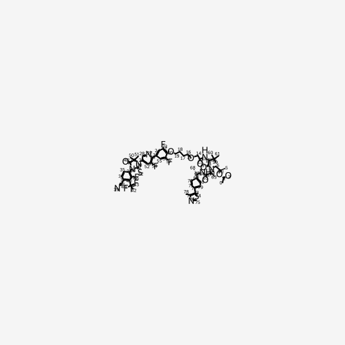 CC(=O)O[C@H](C)CN(C(=O)[C@@H](NC(=O)COCCCCOc1c(F)cc(-c2ncc(N3C(=S)N(c4ccc(C#N)c(C(F)(F)F)c4F)C(=O)C3(C)C)cc2F)cc1F)C(C)(C)C)[C@@H](C)C(=O)N[C@@H](C)c1ccc(-c2scnc2C)cc1